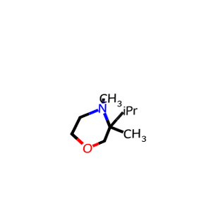 CC(C)C1(C)COCCN1C